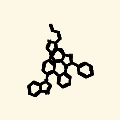 C=C/C=C\c1ncn(-c2ccc(-n3cnc4ccccc43)c(-c3ccccc3-n3c(-c4ccccc4)nc4ccccc43)c2)c1C